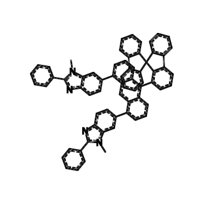 Cn1c(-c2ccccc2)nc2ccc(-c3cccc4c(-c5cccc6c5C5(c7ccccc7-c7ccccc75)c5ccccc5-6)c5cccc(-c6ccc7nc(-c8ccccc8)n(C)c7c6)c5cc34)cc21